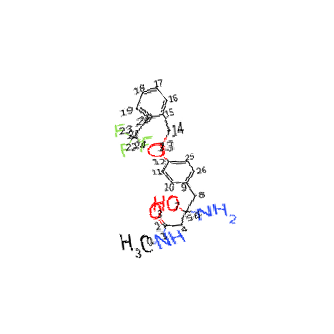 CNC(=O)CC(N)(O)Cc1ccc(OCc2ccccc2C(F)(F)F)cc1